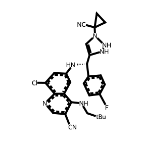 CC(C)(C)CNc1c(C#N)cnc2c(Cl)cc(N[C@H](C3=CN(C4(C#N)CC4)NN3)c3ccc(F)cc3)cc12